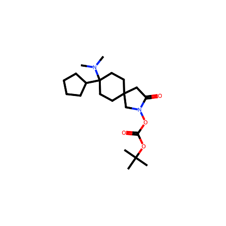 CN(C)C1(C2CCCC2)CCC2(CC1)CC(=O)N(OC(=O)OC(C)(C)C)C2